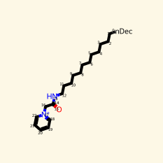 CCCCCCCCCCCCCCCCCCCCCCNC(=O)C[n+]1ccccc1